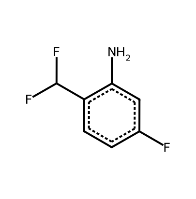 Nc1cc(F)ccc1C(F)F